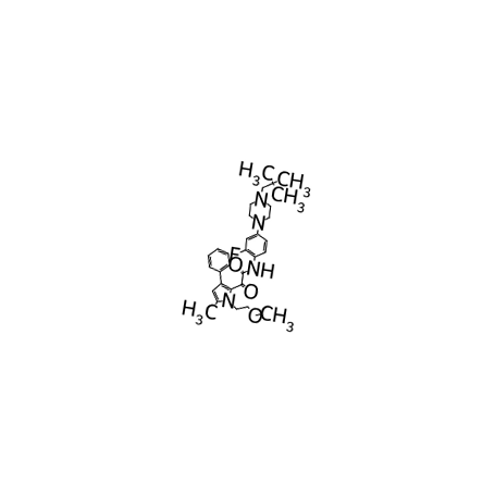 COCCn1c(C)cc(-c2ccccc2)c1C(=O)C(=O)Nc1ccc(N2CCN(CC(C)(C)C)CC2)cc1F